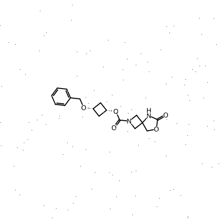 O=C1NC2(CO1)CN(C(=O)O[C@H]1C[C@@H](OCc3ccccc3)C1)C2